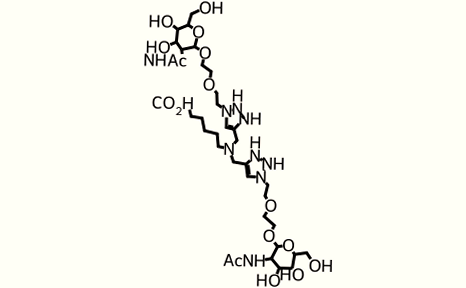 CC(=O)NC1C(OCCOCCN2C=C(CN(CCCCCC(=O)O)CC3=CN(CCOCCOC4OC(CO)C(O)C(O)C4NC(C)=O)NN3)NN2)OC(CO)C(O)C1O